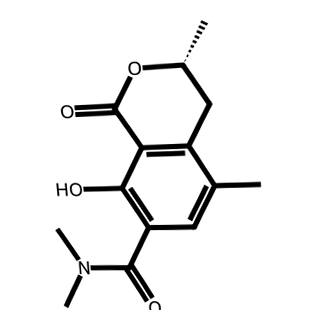 Cc1cc(C(=O)N(C)C)c(O)c2c1C[C@@H](C)OC2=O